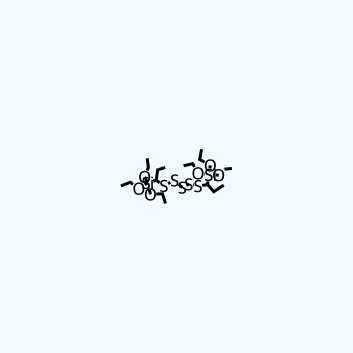 CCO[Si](OCC)(OCC)C(CC)SSSSSC(CC)[Si](OCC)(OCC)OCC